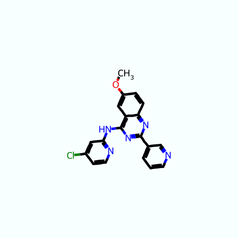 COc1ccc2nc(-c3cccnc3)nc(Nc3cc(Cl)ccn3)c2c1